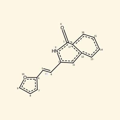 O=c1[nH]c(/C=C/c2ccco2)cc2ccccc12